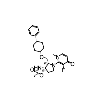 Cn1ccc(=O)c(F)c1N1CC[C@H](NS(C)(=O)=O)[C@@H]1CO[C@H]1CC[C@@H](c2ccccc2)CC1